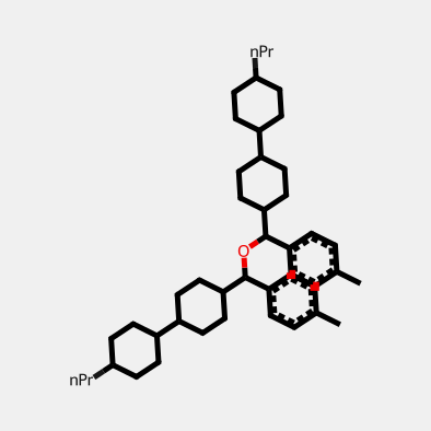 CCCC1CCC(C2CCC(C(OC(c3ccc(C)cc3)C3CCC(C4CCC(CCC)CC4)CC3)c3ccc(C)cc3)CC2)CC1